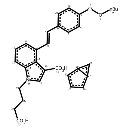 CCCCOOc1ccc(C=Cc2cccc3c2c(C(=O)O)cn3CCCC(=O)O)cc1.c1cc2cc-2c1